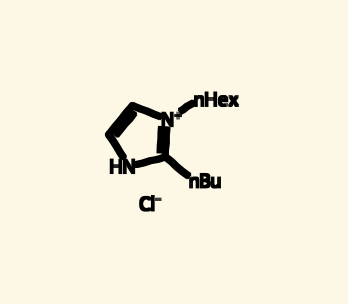 CCCCCC[n+]1cc[nH]c1CCCC.[Cl-]